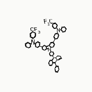 FC(F)(F)c1ccc(N(c2ccccc2)c2ccc(-c3ccc4c(c3)c3cc(-c5ccc(N(c6ccccc6)c6ccc(C(F)(F)F)cc6)cc5)ccc3n4-c3ccc(C4=c5ccccc5=C(c5ccccc5)C5C=CC=CC45)cc3)cc2)cc1